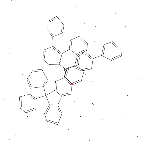 c1ccc(-c2ccc(N(c3ccc4c(c3)C(c3ccccc3)(c3ccccc3)c3ccccc3-4)c3cccc(-c4ccccc4)c3-c3ccccc3-c3ccccc3)cc2)cc1